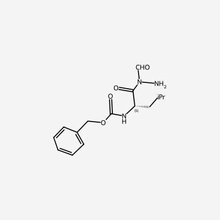 CC(C)C[C@H](NC(=O)OCc1ccccc1)C(=O)N(N)C=O